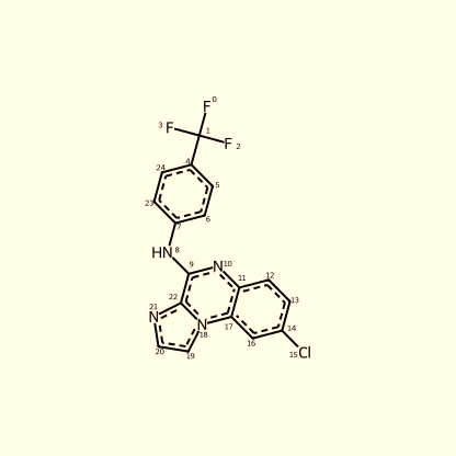 FC(F)(F)c1ccc(Nc2nc3ccc(Cl)cc3n3ccnc23)cc1